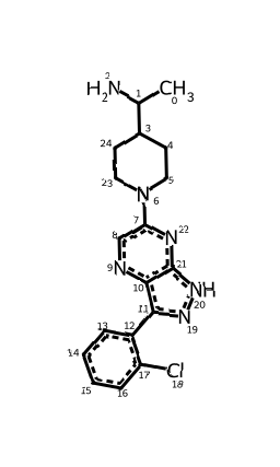 CC(N)C1CCN(c2cnc3c(-c4ccccc4Cl)n[nH]c3n2)CC1